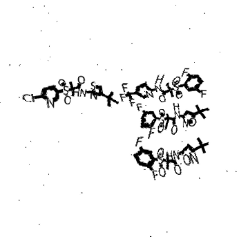 CC(C)(C(=O)Nc1ccc(C(F)(F)F)cn1)S(=O)(=O)c1cc(F)ccc1F.CC(C)(C)c1cc(NC(=O)C(C)(C)S(=O)(=O)c2cc(F)ccc2F)no1.CC(C)(C)c1cc(NC(=O)C(C)(C)S(=O)(=O)c2cc(F)ccc2F)on1.CC(C)(C)c1csc(NC(=O)C(C)(C)S(=O)(=O)c2ccc(Cl)nc2)n1